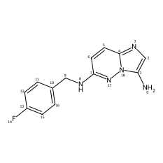 Nc1cnc2ccc(NCc3ccc(F)cc3)nn12